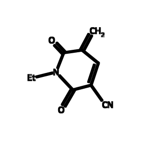 C=C1C=C(C#N)C(=O)N(CC)C1=O